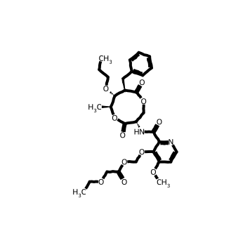 CCCO[C@H]1[C@H](C)OC(=O)[C@@H](NC(=O)c2nccc(OC)c2OCOC(=O)COCC)COC(=O)[C@@H]1Cc1ccccc1